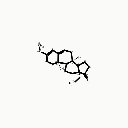 CC[C@]12CCC3[C@@H](CC=C4C=C(OC)CC[C@@]43C)C1CCC2=O